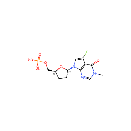 Cn1cnc2c(c(F)cn2[C@H]2CC[C@@H](COP(=O)(O)O)O2)c1=O